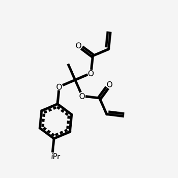 C=CC(=O)OC(C)(OC(=O)C=C)Oc1ccc(C(C)C)cc1